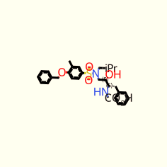 Cc1cc(S(=O)(=O)N(CC(C)C)C[C@H](O)[C@H](Cc2ccccc2)NC(=O)O)ccc1OCc1ccccc1